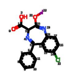 O=C(O)C1N=C(c2ccccc2)c2cc(Cl)ccc2N=C1OI